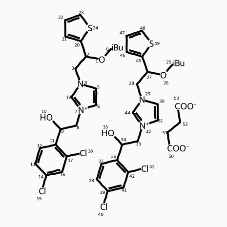 CCC(C)OC(Cn1cc[n+](CC(O)c2ccc(Cl)cc2Cl)c1)c1cccs1.CCC(C)OC(Cn1cc[n+](CC(O)c2ccc(Cl)cc2Cl)c1)c1cccs1.O=C([O-])CCC(=O)[O-]